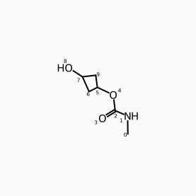 CNC(=O)OC1CC(O)C1